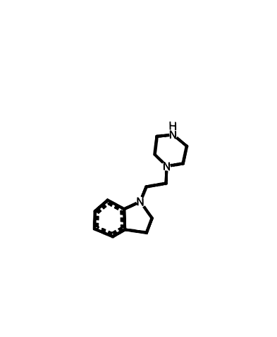 c1ccc2c(c1)CCN2CCN1CCNCC1